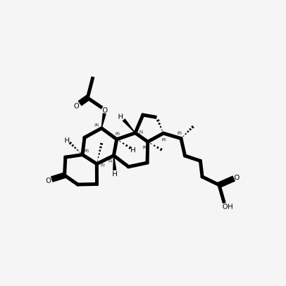 CC(=O)O[C@@H]1C[C@@H]2CC(=O)CC[C@]2(C)[C@H]2CC[C@]3(C)[C@@H]([C@H](C)CCCC(=O)O)CC[C@H]3[C@H]12